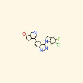 O=C1CCc2c1cncc2-c1ccc2ncnc(N3CCc4cc(F)c(Cl)cc43)c2c1